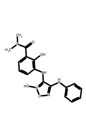 CN(C)C(=O)c1cccc(Nc2c(Nc3ccccc3)no[n+]2O)c1O